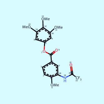 COc1ccc(C(=O)Oc2cc(OC)c(OC)c(OC)c2)cc1NC(=O)C(F)(F)F